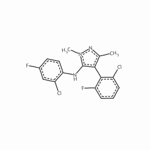 Cc1nn(C)c(Nc2ccc(F)cc2Cl)c1-c1c(F)cccc1Cl